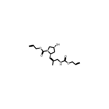 C=CCOC(=O)NC/C(C)=C\[C@@H]1C[C@H](S)CN1C(=O)OCC=C